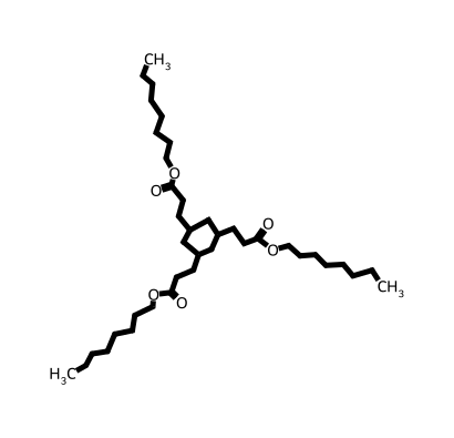 CCCCCCCCOC(=O)CCC1CC(CCC(=O)OCCCCCCCC)CC(CCC(=O)OCCCCCCCC)C1